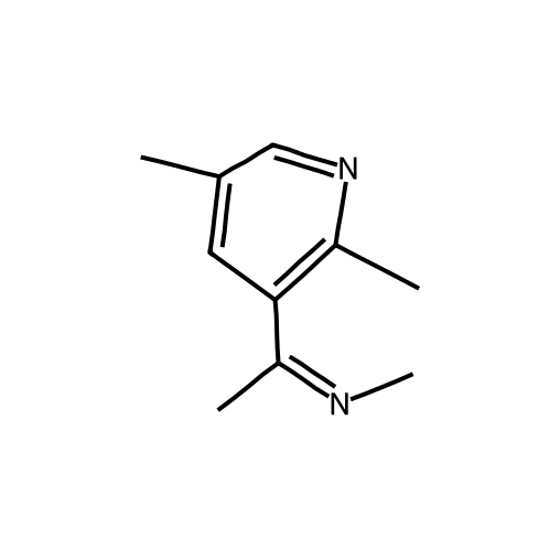 C/N=C(/C)c1cc(C)cnc1C